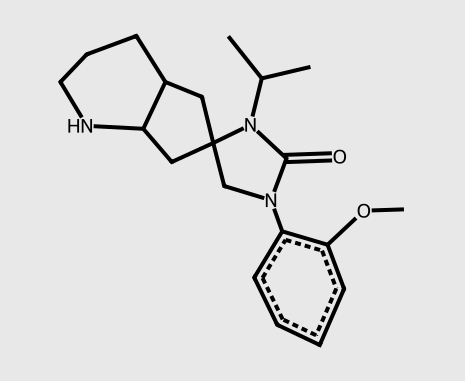 COc1ccccc1N1CC2(CC3CCCNC3C2)N(C(C)C)C1=O